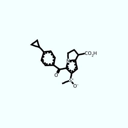 C[S+]([O-])c1cc2n(c1C(=O)c1ccc(C3CC3)cc1)CCC2C(=O)O